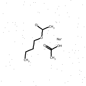 CC(=O)O.CCCCOC(C)[O-].[Na+]